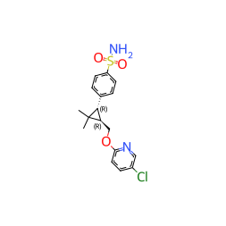 CC1(C)[C@H](COc2ccc(Cl)cn2)[C@H]1c1ccc(S(N)(=O)=O)cc1